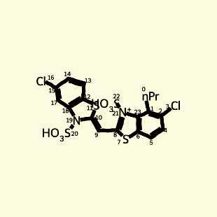 CCCc1c(Cl)ccc2sc(C=C3Sc4ccc(Cl)cc4N3S(=O)(=O)O)[n+](S(=O)(=O)O)c12